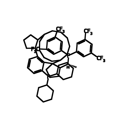 C[C@H](C1CCCC12c1c(cccc1P(C1CCCCC1)C1CCCCC1)C1CCCC1C1CCCCCC2CCCC1)P(c1cc(C(F)(F)F)cc(C(F)(F)F)c1)c1cc(C(F)(F)F)cc(C(F)(F)F)c1